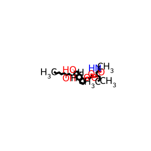 CCCCC[C@H](O)CC[C@@H]1[C@H]2Cc3cccc(OCC(=O)OC(CC(=O)NC)CC(C)C)c3C[C@H]2C[C@H]1O